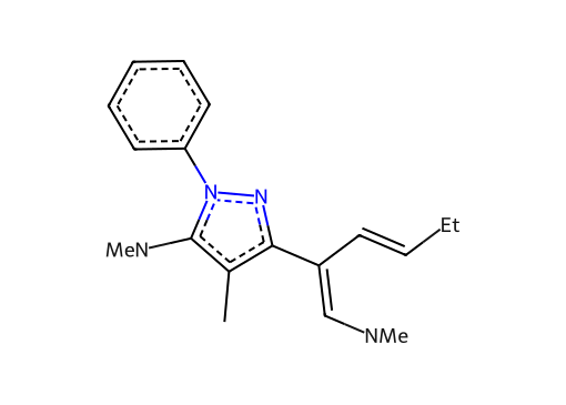 CC/C=C/C(=C\NC)c1nn(-c2ccccc2)c(NC)c1C